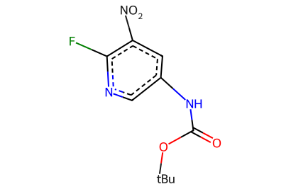 CC(C)(C)OC(=O)Nc1cnc(F)c([N+](=O)[O-])c1